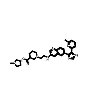 Cc1cccc(-c2[nH]cnc2-c2ccc3ncc(NCCN4CCCC(C(=O)O[C@@H]5CCN(C)C5)C4)cc3c2)n1